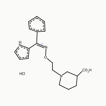 Cl.O=C(O)C1CCCN(CCO/N=C(/c2ccccc2)c2ccc[nH]2)C1